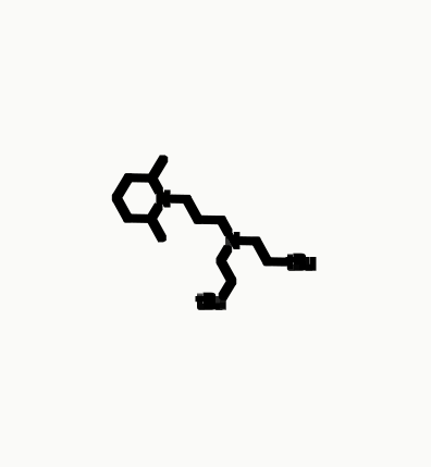 CC1CCCC(C)N1CCCN(CCC(C)(C)C)CCC(C)(C)C